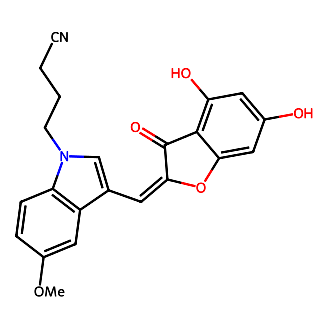 COc1ccc2c(c1)c(C=C1Oc3cc(O)cc(O)c3C1=O)cn2CCCC#N